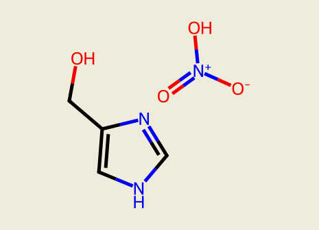 O=[N+]([O-])O.OCc1c[nH]cn1